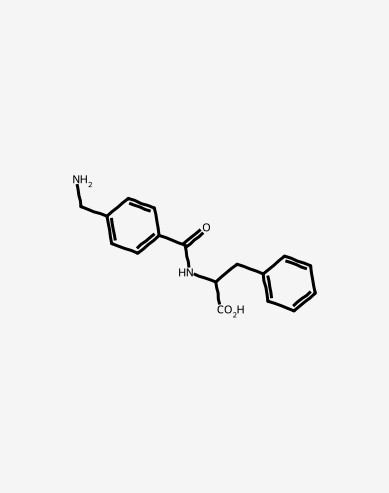 NCc1ccc(C(=O)NC(Cc2ccccc2)C(=O)O)cc1